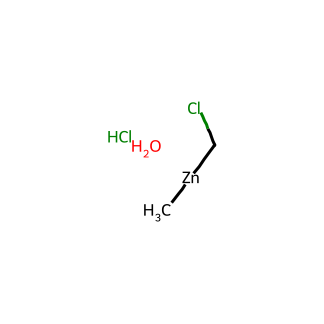 Cl.O.[CH3][Zn][CH2]Cl